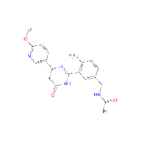 CCOc1ccc(C2CC(=O)NC(c3cc(CNC(=O)C(C)C)ccc3C)=N2)cn1